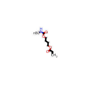 C=CC(=O)OCCCCOC(=O)NCCCC